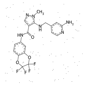 Cn1ncc(C(=O)Nc2ccc3c(c2)OC(F)(F)C(F)(F)O3)c1NCc1ccnc(N)c1